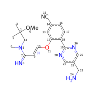 COC(C)(C)CN(C)C(=N)/C=C/Oc1cc(C#N)ccc1-c1ncc(CN)cn1